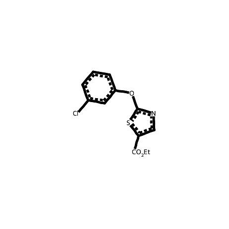 CCOC(=O)c1cnc(Oc2cccc(Cl)c2)s1